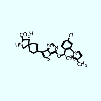 Cc1ccn(-c2cc(Cl)ccc2[C@@H](Oc2ncnc3c(C4=CCC5(CC4)CNC(C(=O)O)C5)csc23)C(F)(F)F)n1